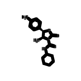 Cc1ccc([C@@H]2OC(=O)N(C(=S)NC3CCCCC3)[C@H]2C)cc1